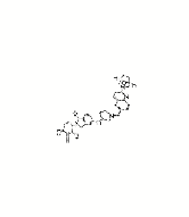 O=C1CCC(N2Cc3cc(O[C@H]4CCN(Cc5ccc6nc(N7C[C@H]8CC[C@@H](C7)O8)ccc6c5)C4)ccc3C2=O)C(=O)N1